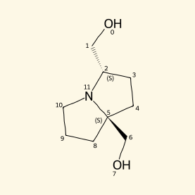 OC[C@@H]1CC[C@]2(CO)CCCN12